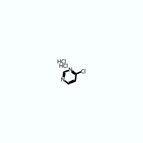 Cl.Cl.Clc1ccncn1